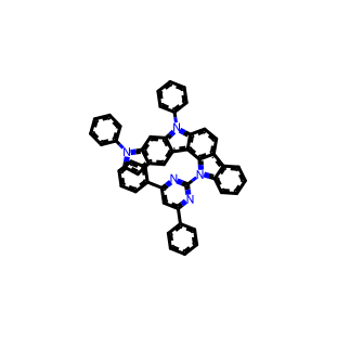 c1ccc(-c2cc(-c3ccccc3)nc(-n3c4ccccc4c4ccc5c(c6cc7ccn(-c8ccccc8)c7cc6n5-c5ccccc5)c43)n2)cc1